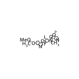 CO[C@H](C)COc1ccc2c(Oc3c(F)cc(N(C)C(=O)c4cnccc4OC4CC4)cc3I)ccnc2c1